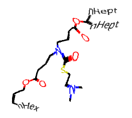 CCCCCC/C=C\COC(=O)CCCN(CCCC(=O)OC(CCCCCCC)CCCCCCC)C(=O)SCCN(C)C